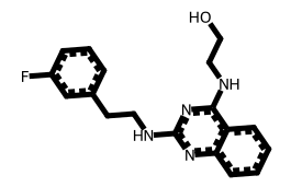 OCCNc1nc(NCCc2cccc(F)c2)nc2ccccc12